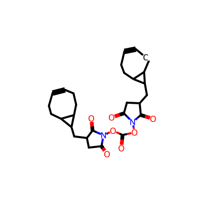 O=C(ON1C(=O)CC(CC2C3CCC#CCCC32)C1=O)ON1C(=O)CC(CC2C3CCC#CCCC32)C1=O